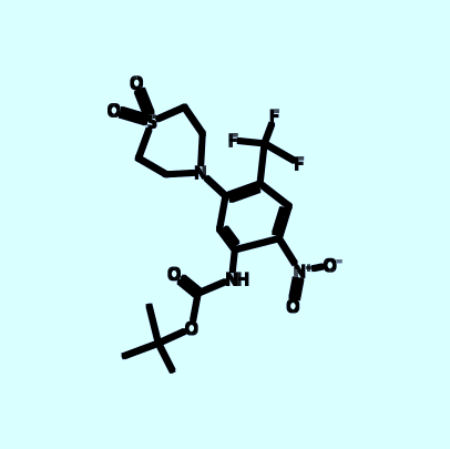 CC(C)(C)OC(=O)Nc1cc(N2CCS(=O)(=O)CC2)c(C(F)(F)F)cc1[N+](=O)[O-]